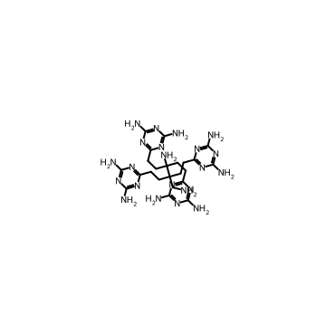 NCC(CCc1nc(N)nc(N)n1)(CCc1nc(N)nc(N)n1)C(N)(CCc1nc(N)nc(N)n1)CCc1nc(N)nc(N)n1